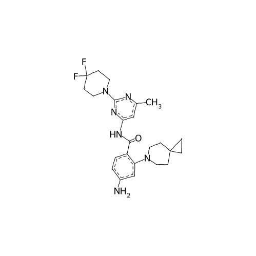 Cc1cc(NC(=O)c2ccc(N)cc2N2CCC3(CC2)CC3)nc(N2CCC(F)(F)CC2)n1